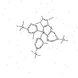 CC1=C(C)C(C)C([Si](c2ccc([Si](C)(C)C)cc2C)(c2ccc([Si](C)(C)C)cc2C)c2ccc([Si](C)(C)C)cc2C)=C1C